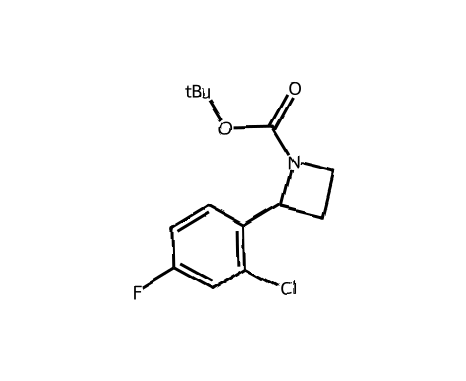 CC(C)(C)OC(=O)N1CCC1c1ccc(F)cc1Cl